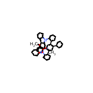 C=Cc1c(/C=C\C)n(-c2ccccc2-c2cc(-c3ccccc3)c(-c3ccccc3-n3c4ccccc4c4ccccc43)cc2-c2ccccc2)c2ccccc12